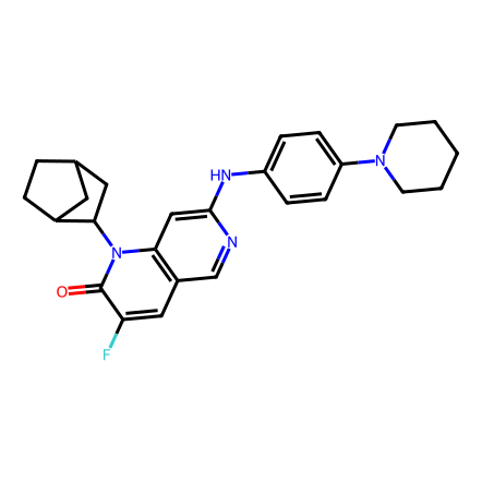 O=c1c(F)cc2cnc(Nc3ccc(N4CCCCC4)cc3)cc2n1C1CC2CCC1C2